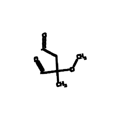 COC(C)([C]=O)C[C]=O